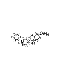 COc1ccc2cc(C3(O)CCN(Cc4ccccc4)CC3)ccc2c1